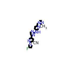 Cc1nccn1Cc1ccc(Nc2nccc(-c3cnc(N4CCC(F)C4)c(C#N)c3)n2)cn1